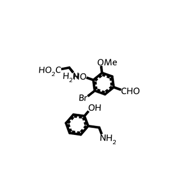 COc1cc(C=O)cc(Br)c1O.NCC(=O)O.NCc1ccccc1O